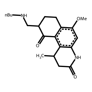 CCCCNCC1CCc2c(OC)cc3c(c2C1=O)C(C)CC(=O)N3